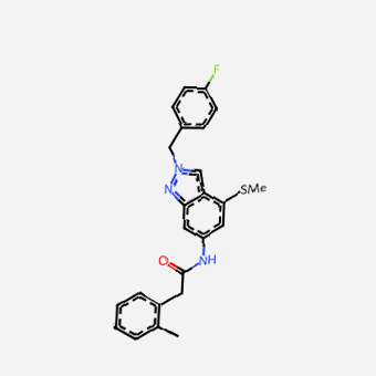 CSc1cc(NC(=O)Cc2ccccc2C)cc2nn(Cc3ccc(F)cc3)cc12